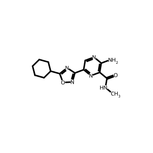 CNC(=O)c1nc(-c2noc(C3CCCCC3)n2)cnc1N